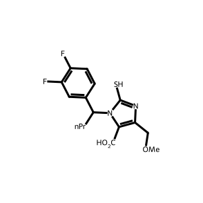 CCCC(c1ccc(F)c(F)c1)n1c(S)nc(COC)c1C(=O)O